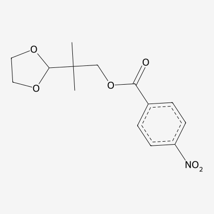 CC(C)(COC(=O)c1ccc([N+](=O)[O-])cc1)C1OCCO1